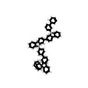 c1ccc(-c2cccc(-n3c4ccccc4c4ccc(-c5ccc6c7ccccc7n(-c7ccc(-c8ccc9c(c8)C8(c%10ccccc%10-9)C9CC%10CC(C9)CC8C%10)cc7)c6c5)cc43)c2)cc1